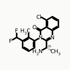 Cc1c(C(F)F)cccc1-n1c([C@H](C)N)nc2cccc(Cl)c2c1=O